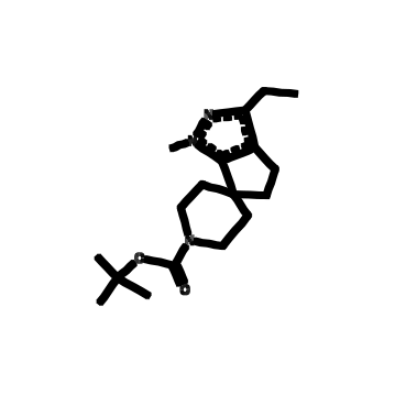 CCc1nn(C)c2c1CCC21CCN(C(=O)OC(C)(C)C)CC1